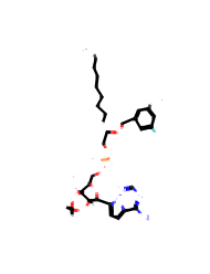 CCCCCCCCCCCCCCCCCC[C@@H](COP(=O)(O)OC[C@@]1(C#N)OC(c2ccc3c(N)ncnn23)[C@@H]2OC(C)(C)O[C@@H]21)OCc1cc(F)cc(C#N)c1